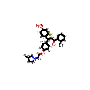 CCc1ccccc1C(=O)c1sc2cc(O)ccc2c1-c1ccc(OCCN2CCC(C)C2)cc1